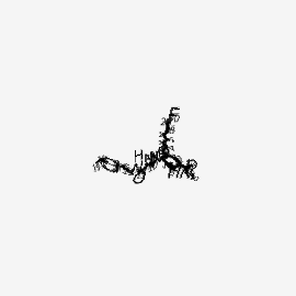 CCNC(=O)c1ccc(-n2cc(C(=O)NCCOCC)nn2)c(OCCCCCCF)c1